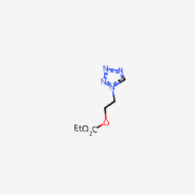 CCOC(=O)OCCn1cnnn1